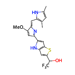 COC1=CC(c2cc3sc(C(O)C(F)(F)F)cc3[nH]2)=NC1=Cc1[nH]c(C)cc1C